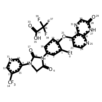 CCc1cc(N2C(=O)CN(c3cncc(C(F)(F)F)c3)C2=O)ccc1Oc1ccnc2[nH]c(=O)cnc12.O=C(O)C(F)(F)F